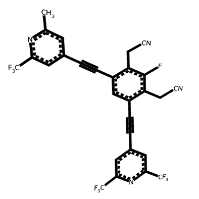 Cc1cc(C#Cc2cc(C#Cc3cc(C(F)(F)F)nc(C(F)(F)F)c3)c(CC#N)c(F)c2CC#N)cc(C(F)(F)F)n1